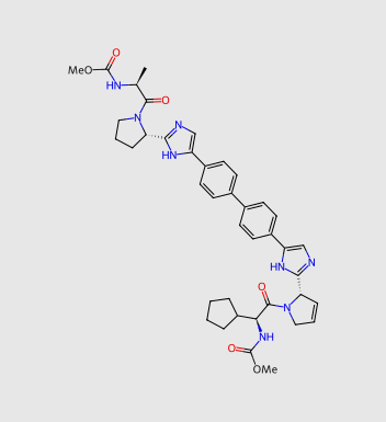 COC(=O)N[C@@H](C)C(=O)N1CCC[C@H]1c1ncc(-c2ccc(-c3ccc(-c4cnc([C@@H]5C=CCN5C(=O)[C@@H](NC(=O)OC)C5CCCC5)[nH]4)cc3)cc2)[nH]1